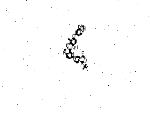 Cc1c(Oc2ccn3ncnc3c2)ccc(Nc2ncnc3ccc(N4CCN(C(=O)OC(C)(C)C)[C@@H](C(F)F)C4)nc23)c1F